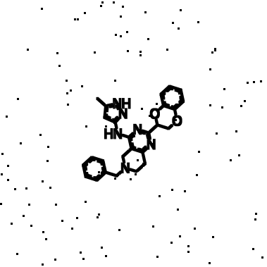 Cc1cc(Nc2nc(C3COc4ccccc4O3)nc3c2CN(Cc2ccccc2)CC3)n[nH]1